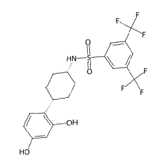 O=S(=O)(N[C@H]1CC[C@@H](c2ccc(O)cc2O)CC1)c1cc(C(F)(F)F)cc(C(F)(F)F)c1